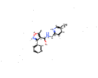 Cc1onc(-c2ccccc2)c1C(=O)NCc1ccc(C#N)cn1